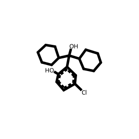 Oc1ccc(Cl)cc1C(O)(C1CCCCC1)C1CCCCC1